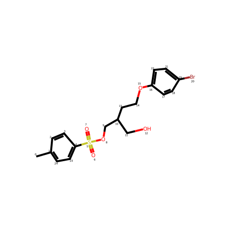 Cc1ccc(S(=O)(=O)OCC(CO)CCOc2ccc(Br)cc2)cc1